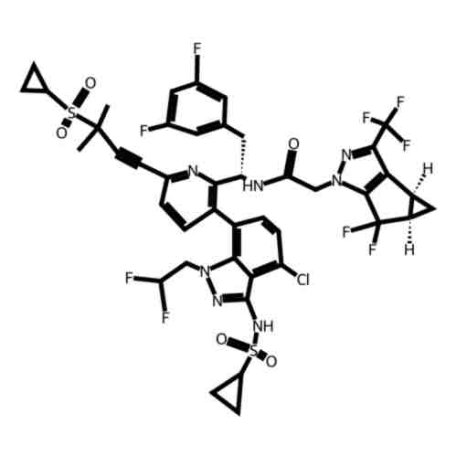 CC(C)(C#Cc1ccc(-c2ccc(Cl)c3c(NS(=O)(=O)C4CC4)nn(CC(F)F)c23)c([C@H](Cc2cc(F)cc(F)c2)NC(=O)Cn2nc(C(F)(F)F)c3c2C(F)(F)[C@@H]2C[C@H]32)n1)S(=O)(=O)C1CC1